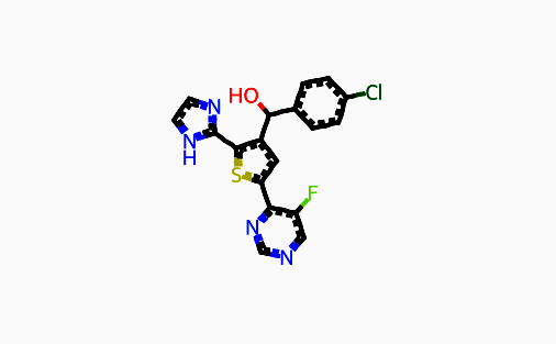 OC(c1ccc(Cl)cc1)c1cc(-c2ncncc2F)sc1-c1ncc[nH]1